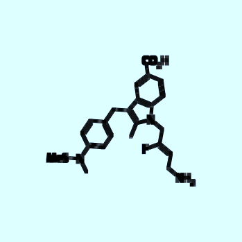 CSN(C)c1ccc(Cc2c(C)n(C/C(F)=C/CN)c3ccc(C(=O)O)cc23)cc1